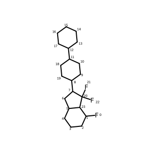 FC1CCCC2CC(C3CCC(C4CCCCC4)CC3)C(F)(F)C12